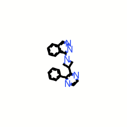 c1ccc(-c2nccnc2C2CN(c3nncc4ccccc34)C2)cc1